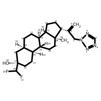 C=C(Cn1ncnn1)[C@H]1CC[C@H]2[C@@H]3CC[C@@H]4C[C@](O)(C(F)F)CC[C@@H]4[C@H]3CC[C@]12C